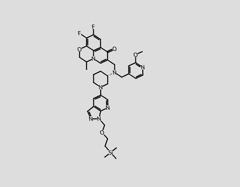 COc1cc(CN(Cc2cn3c4c(c(F)c(F)cc4c2=O)OCC3C)[C@H]2CCCN(c3cnc4c(cnn4COCC[Si](C)(C)C)c3)C2)ccn1